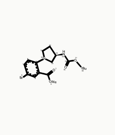 COC(=O)c1cc(Br)ccc1N1CC[C@@H](NC(=O)OC(C)(C)C)C1